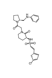 O=C1[C@@H](NS(=O)(=O)/C=C/c2ccc(Cl)s2)CCCN1CC(=O)N1CCC[C@H]1CNc1ccccc1